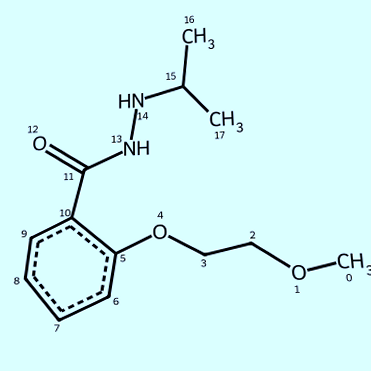 COCCOc1ccccc1C(=O)NNC(C)C